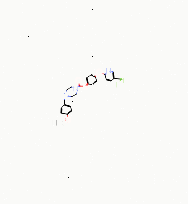 COc1ccc(CN2CCN(C(=O)Oc3ccc(Oc4ccc(C(F)(F)F)cn4)cc3)CC2)cc1